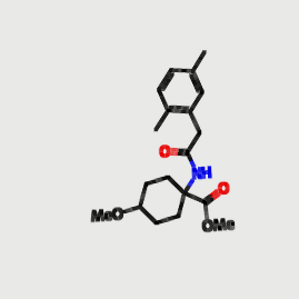 COC(=O)C1(NC(=O)Cc2cc(C)ccc2C)CCC(OC)CC1